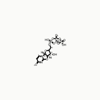 O=c1ccn2c(n1)O[C@H]1[C@H]2OC(COP(=O)(O)OP(=O)(O)OP(=O)(O)O)[C@@H]1O